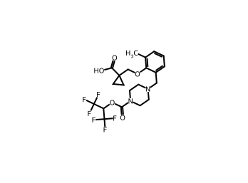 Cc1cccc(CN2CCN(C(=O)OC(C(F)(F)F)C(F)(F)F)CC2)c1OCC1(C(=O)O)CC1